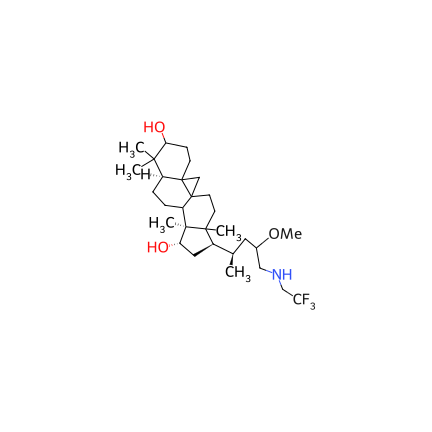 COC(CNCC(F)(F)F)C[C@@H](C)[C@H]1C[C@H](O)[C@@]2(C)C3CC[C@H]4C(C)(C)C(O)CCC45CC35CCC12C